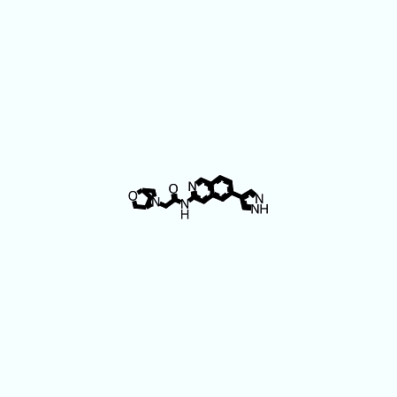 O=C(CN1CC2CC1CO2)Nc1cc2cc(-c3cn[nH]c3)ccc2cn1